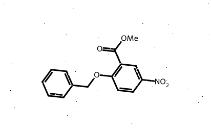 COC(=O)c1cc([N+](=O)[O-])ccc1OCc1ccccc1